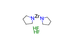 C1CC[N]([Zr][N]2CCCC2)C1.F.F